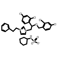 Clc1ccc(COC(Cn2cc[n+](CCc3ccccc3)c2)c2ccc(Cl)cc2Cl)c(Cl)c1.O=S(=O)([O-])NC1CCCCC1